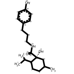 CC1CCC(C(C)C)[C@@](O)(C(=O)NCCCc2ccc(O)cc2)C1